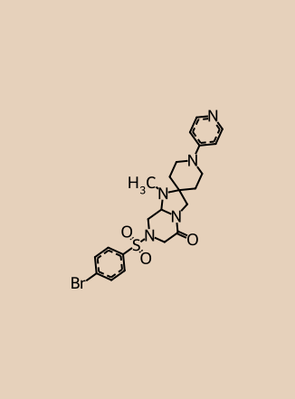 CN1C2CN(S(=O)(=O)c3ccc(Br)cc3)CC(=O)N2CC12CCN(c1ccncc1)CC2